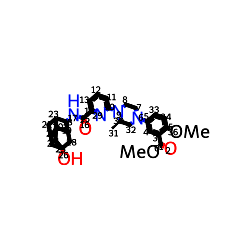 COC(=O)c1cc(N2CCN(c3cccc(C(=O)NC4C5CC6CC4CC(O)(C6)C5)n3)[C@H](C)C2)ccc1OC